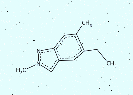 CCc1cc2cn(C)nc2cc1C